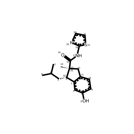 CC(C)C[C@H]1c2cc(O)ccc2C[C@]1(C)C(=O)Nc1nccs1